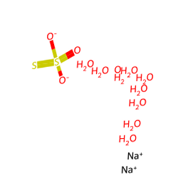 O.O.O.O.O.O.O.O.O.O=S([O-])([O-])=S.[Na+].[Na+]